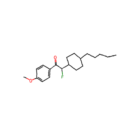 CCCCCC1CCC(C(F)C(=O)c2ccc(OC)cc2)CC1